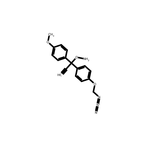 C#CC(ON)(c1ccc(OC)cc1)c1ccc(OCN=[N+]=[N-])cc1